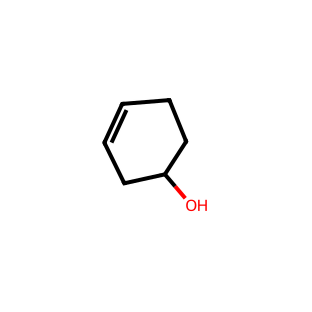 O[C]1CC=CCC1